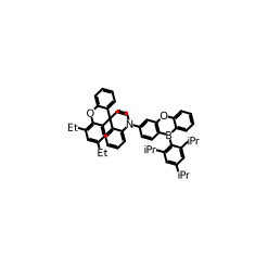 CCc1cc(CC)c2c(c1)C1(c3ccccc3O2)c2ccccc2N(c2ccc3c(c2)Oc2ccccc2B3c2c(C(C)C)cc(C(C)C)cc2C(C)C)c2ccccc21